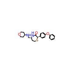 O=C1N[C@H](CNC2CCOCC2)CCS[C@@H]1c1ccc(Oc2ccccc2)cc1